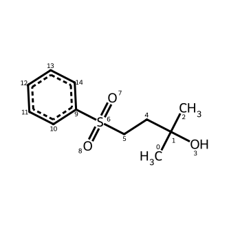 CC(C)(O)CCS(=O)(=O)c1ccccc1